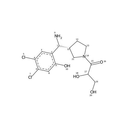 NC(c1cc(Cl)c(Cl)cc1O)[C@@H]1CCN(C(=O)C(O)CO)C1